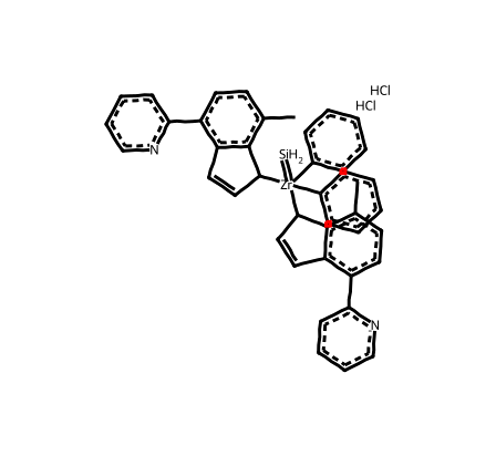 Cc1ccc(-c2ccccn2)c2c1[CH]([Zr](=[SiH2])([c]1ccccc1)([c]1ccccc1)[CH]1C=Cc3c(-c4ccccn4)ccc(C)c31)C=C2.Cl.Cl